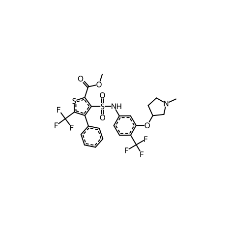 COC(=O)c1sc(C(F)(F)F)c(-c2ccccc2)c1S(=O)(=O)Nc1ccc(C(F)(F)F)c(OC2CCN(C)C2)c1